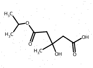 CC(C)OC(=O)CC(C)(O)CC(=O)O